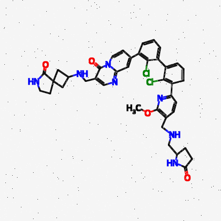 COc1nc(-c2cccc(-c3cccc(-c4ccn5c(=O)c(CNC6CC7(CCNC7=O)C6)cnc5c4)c3Cl)c2Cl)ccc1CNCC1CCC(=O)N1